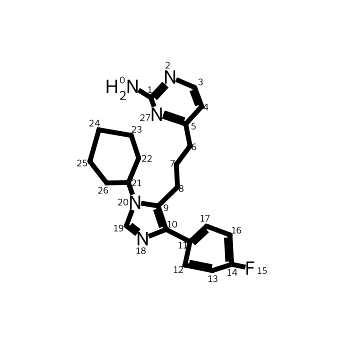 Nc1nccc(CCCc2c(-c3ccc(F)cc3)ncn2C2CCCCC2)n1